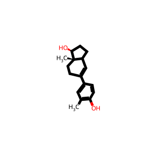 Cc1cc(C2=CC3CC[C@H](O)[C@@]3(C)CC2)ccc1O